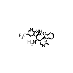 C#CC(/C=N\C(=C)Sc1ccccc1OC)=C(/N)c1c[nH]c2ncc(C(F)(F)F)cc12